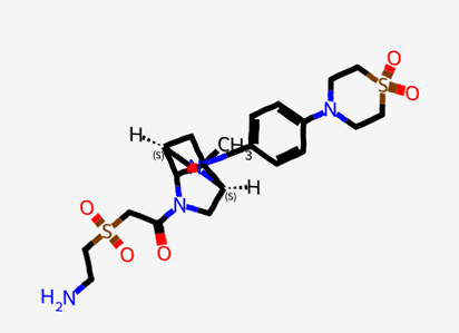 CC12C[C@H]3CN(c4ccc(N5CCS(=O)(=O)CC5)cc4)[C@@H]1CN(C(=O)CS(=O)(=O)CCN)C32